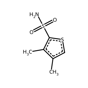 Cc1csc(S(N)(=O)=O)c1C